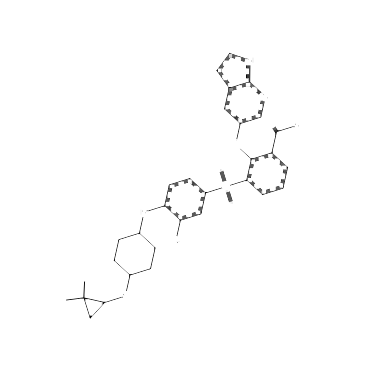 NC(=O)c1cccc(S(=O)(=O)c2ccc(NC3CCC(NC4CC4(F)F)CC3)c([N+](=O)[O-])c2)c1Oc1cnc2[nH]ccc2c1